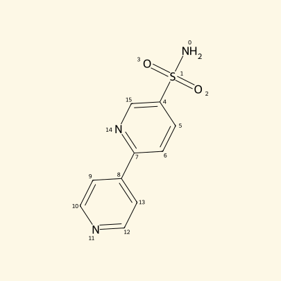 NS(=O)(=O)c1ccc(-c2ccncc2)nc1